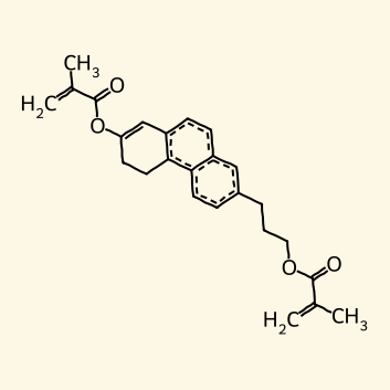 C=C(C)C(=O)OCCCc1ccc2c3c(ccc2c1)C=C(OC(=O)C(=C)C)CC3